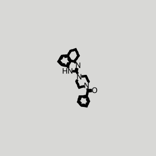 O=C(c1ccccc1)N1CCN(C2=NC3CCCc4cccc(c43)N2)CC1